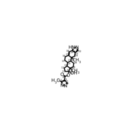 Cc1nnsc1C(=O)OC1(O)CCC2C3CCC4=Cc5[nH]ncc5CC4(C)C3CCC21C